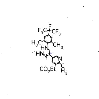 CCOC(=O)c1cc(/C(=C/Nc2c(C)cc(C(F)(C(F)(F)F)C(F)(F)F)cc2C)N=N)cnc1C